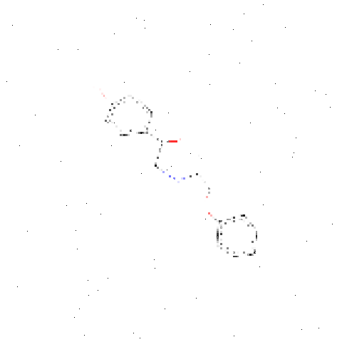 C[C@H](COc1ccccc1)N[C@H](C)[C@H](O)c1ccc(O)cc1